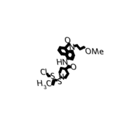 C/C=C(\SCCl)SN1CCC(C(=O)Nc2ccc3c4c(cccc24)C(=O)N3CCCOC)CC1